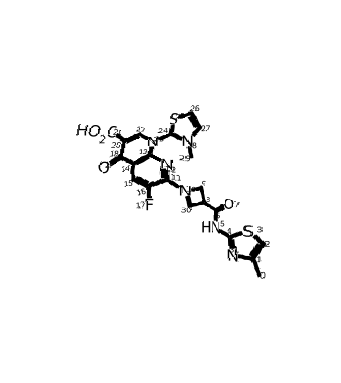 Cc1csc(NC(=O)C2CN(c3nc4c(cc3F)c(=O)c(C(=O)O)cn4C3SC=CN3C)C2)n1